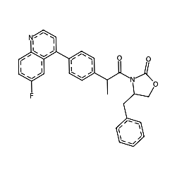 CC(C(=O)N1C(=O)OCC1Cc1ccccc1)c1ccc(-c2ccnc3ccc(F)cc23)cc1